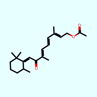 CC(=O)OCC=C(C)C=CC=C(C)C(=O)C=C1C(C)CCCC1(C)C